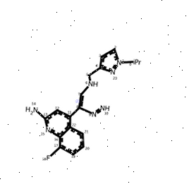 CC(C)n1ccc(CN/C=C(\N=N)c2cc(N)nc3c(F)cccc23)n1